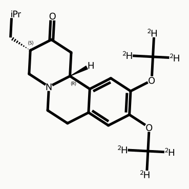 [2H]C([2H])([2H])Oc1cc2c(cc1OC([2H])([2H])[2H])[C@H]1CC(=O)[C@@H](CC(C)C)CN1CC2